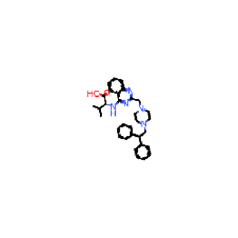 CC(C)[C@H](Nc1nc(CN2CCN(CC(c3ccccc3)c3ccccc3)CC2)nc2ccccc12)C(=O)O